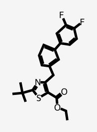 CCOC(=O)c1sc(C(C)(C)C)nc1Cc1cccc(-c2ccc(F)c(F)c2)c1